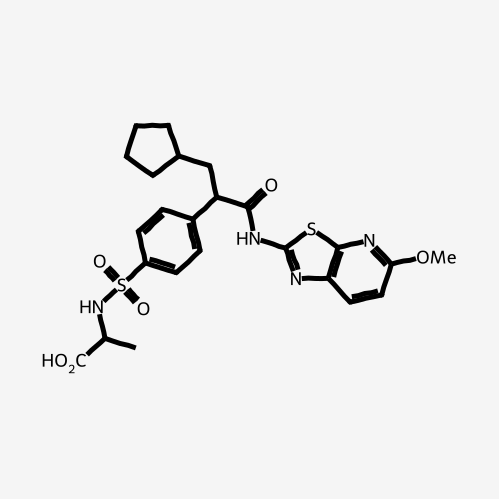 COc1ccc2nc(NC(=O)C(CC3CCCC3)c3ccc(S(=O)(=O)NC(C)C(=O)O)cc3)sc2n1